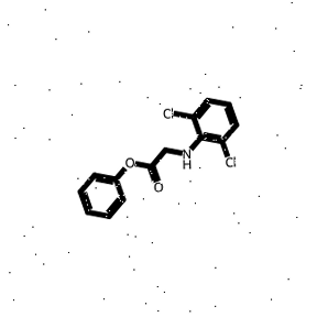 O=C(CNc1c(Cl)cccc1Cl)Oc1ccccc1